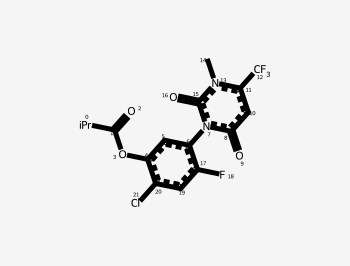 CC(C)C(=O)Oc1cc(-n2c(=O)cc(C(F)(F)F)n(C)c2=O)c(F)cc1Cl